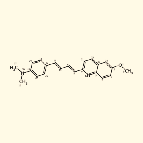 COc1ccc2nc(/C=C/C=C/c3ccc(N(C)C)cc3)ccc2c1